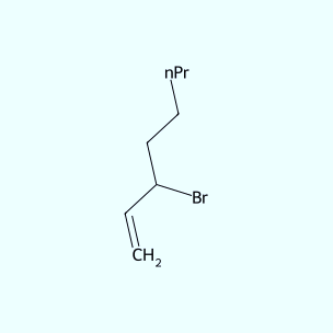 C=CC(Br)CCCCC